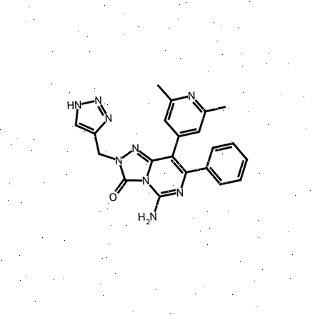 Cc1cc(-c2c(-c3ccccc3)nc(N)n3c(=O)n(Cc4c[nH]nn4)nc23)cc(C)n1